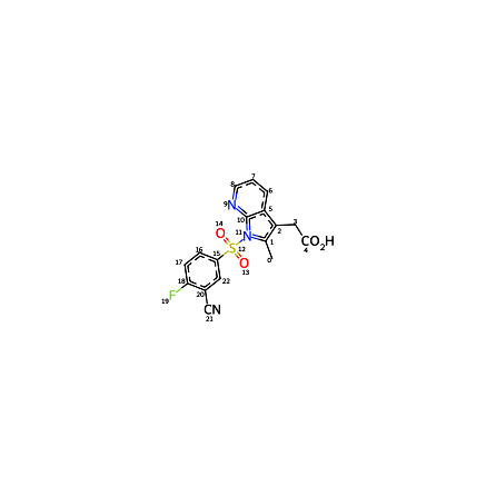 Cc1c(CC(=O)O)c2cccnc2n1S(=O)(=O)c1ccc(F)c(C#N)c1